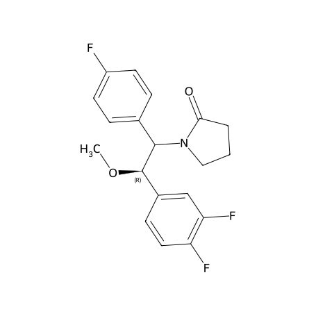 CO[C@H](c1ccc(F)c(F)c1)C(c1ccc(F)cc1)N1CCCC1=O